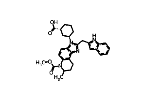 COC(=O)N1c2ccc3c(nc(Cc4cc5ccccc5[nH]4)n3[C@@H]3CCC[C@@H](C(=O)O)C3)c2CCC1C